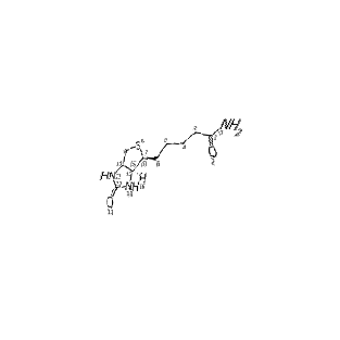 NC(=O)CCCC[C@@H]1SCC2NC(=O)N[C@@H]21